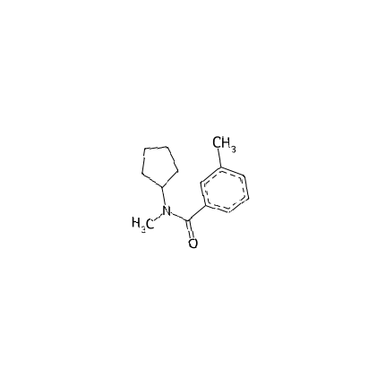 Cc1cccc(C(=O)N(C)C2CCCC2)c1